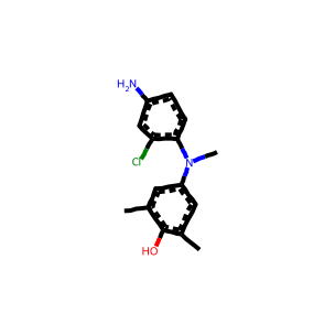 Cc1cc(N(C)c2ccc(N)cc2Cl)cc(C)c1O